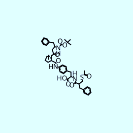 CC(=O)SCC(Cc1ccccc1)C(=O)NC(Cc1ccc(NC(=O)C2CCCN2C(=O)CC(Cc2ccccc2)NC(=O)OC(C)(C)C)cc1)C(=O)O